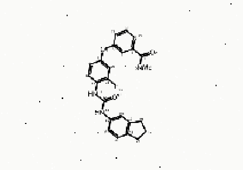 CNC(=O)c1cc(Oc2ccc(NC(=O)Nc3ccc4c(c3)CCC4)c(F)c2)ccn1